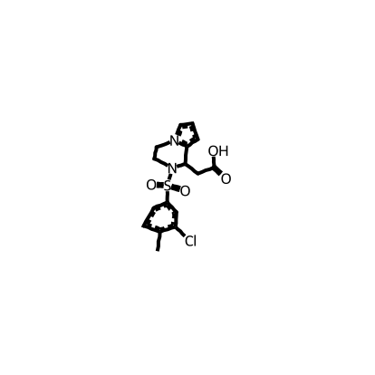 Cc1ccc(S(=O)(=O)N2CCn3cccc3C2CC(=O)O)cc1Cl